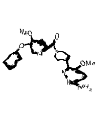 COc1cc(C(=O)N2CCC(c3nnc(N)cc3OC)CC2)ncc1Oc1ccccc1